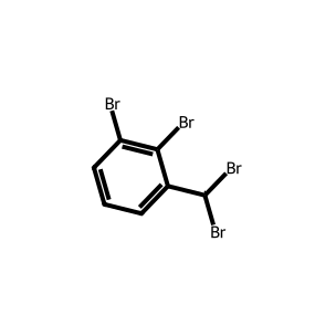 Br[C](Br)c1cccc(Br)c1Br